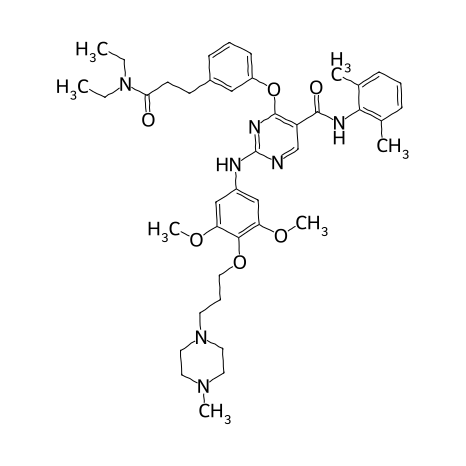 CCN(CC)C(=O)CCc1cccc(Oc2nc(Nc3cc(OC)c(OCCCN4CCN(C)CC4)c(OC)c3)ncc2C(=O)Nc2c(C)cccc2C)c1